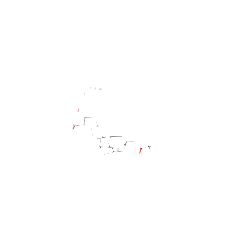 COCOC1OC(=O)C2C1OC1SC3(SC12)C1CC2CC3CC(OC(=O)C(F)(F)S(=O)(=O)O)(C2)C1